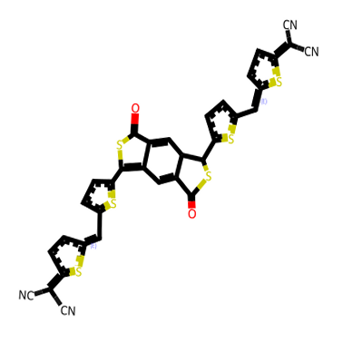 N#CC(C#N)=c1cc/c(=C\c2ccc(C3=C4C=C5C(=O)SC(c6ccc(/C=c7\ccc(=C(C#N)C#N)s7)s6)C5C=C4C(=O)S3)s2)s1